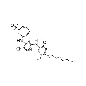 CCCCCCCNc1cc(OC)c(Nc2ncc(Cl)c(NC3C=CC=CC(P(C)(C)=O)C3)n2)cc1CC